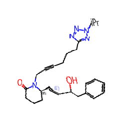 CC(C)n1nnc(CCCC#CCN2C(=O)CCC[C@@H]2/C=C/C(O)Cc2ccccc2)n1